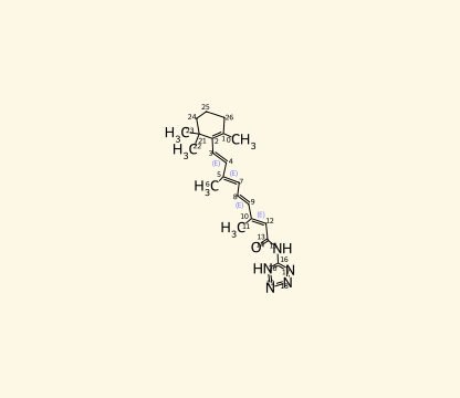 CC1=C(/C=C/C(C)=C/C=C/C(C)=C/C(=O)Nc2nnn[nH]2)C(C)(C)CCC1